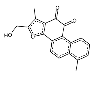 Cc1c(CO)oc2c1C(=O)C(=O)c1c-2ccc2c(C)cccc12